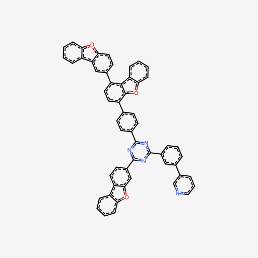 c1cncc(-c2cccc(-c3nc(-c4ccc(-c5ccc(-c6ccc7oc8ccccc8c7c6)c6c5oc5ccccc56)cc4)nc(-c4ccc5c(c4)oc4ccccc45)n3)c2)c1